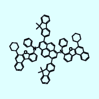 CC1(C)c2ccccc2-c2ccc(-c3cc(N(c4ccccc4)c4cccc5c4oc4c(C6CCCCC6)cc6ccccc6c45)c4ccc5c(-c6ccc7c(c6)C(C)(C)c6ccccc6-7)cc(N(c6ccccc6)c6cccc7c6oc6c(C8CCCCC8)cc8ccccc8c67)c6ccc3c4c56)cc21